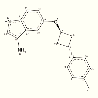 Cc1ccc([C@H]2C[C@H](Oc3ccc4[nH]cc(N)c4c3)C2)cc1